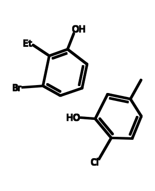 CCc1c(O)cccc1Br.Cc1ccc(Cl)c(O)c1